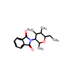 CC(=O)OCC1OC(OC(C)=O)C(N2C(=O)c3ccccc3C2=O)C(OC(C)=O)C1OC(C)=O